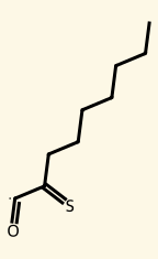 CCCCCCCC(=S)[C]=O